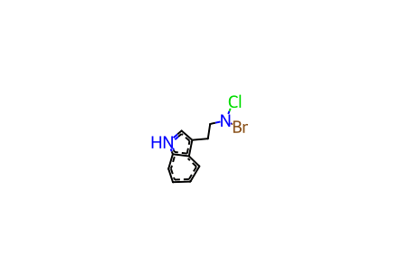 ClN(Br)CCc1c[nH]c2ccccc12